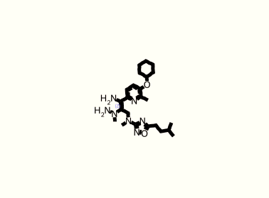 Cc1nc(/C(N)=C(\CN(C)c2noc(CCC(C)C)n2)N(C)N)ccc1OC1CCCCC1